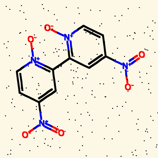 O=[N+]([O-])c1cc[n+]([O-])c(-c2cc([N+](=O)[O-])cc[n+]2[O-])c1